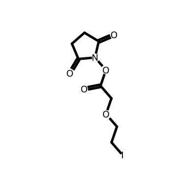 O=C(COCCI)ON1C(=O)CCC1=O